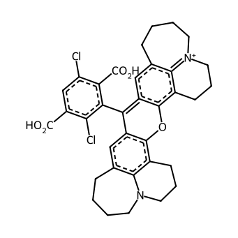 O=C(O)c1cc(Cl)c(C(=O)O)c(C2=c3cc4c5c(c3Oc3c2cc2c6c3CCCN6CCCC2)CCC[N+]=5CCCC4)c1Cl